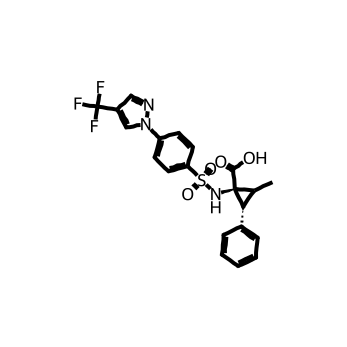 CC1[C@H](c2ccccc2)[C@]1(NS(=O)(=O)c1ccc(-n2cc(C(F)(F)F)cn2)cc1)C(=O)O